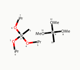 CC(C)O[Si](C)(OC(C)C)OC(C)C.CO[Si](C)(OC)OC